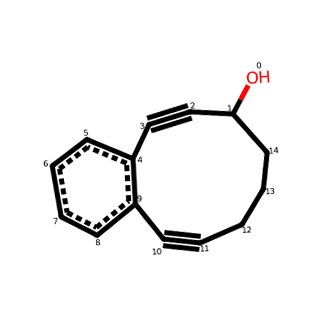 OC1C#Cc2ccccc2C#CCCC1